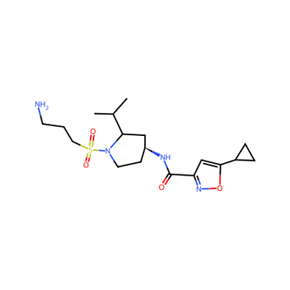 CC(C)C1C[C@@H](NC(=O)c2cc(C3CC3)on2)CCN1S(=O)(=O)CCCN